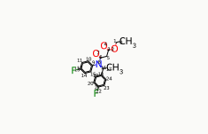 CCOC(=O)CC(=O)N(c1ccc(F)cc1)C(C)c1ccc(F)cc1